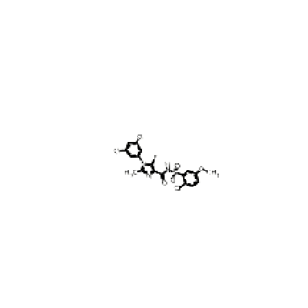 COc1ccc(Cl)c(S(=O)(=O)NC(=O)c2nc(C)n(-c3cc(Cl)cc(Cl)c3)c2F)c1